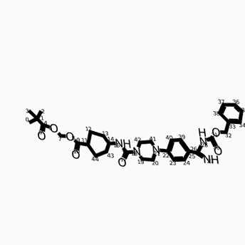 CC(C)(C)C(=O)OCOC(=O)C1CCC(NC(=O)N2CCN(c3ccc(C(=N)NC(=O)OCc4ccccc4)cc3)CC2)CC1